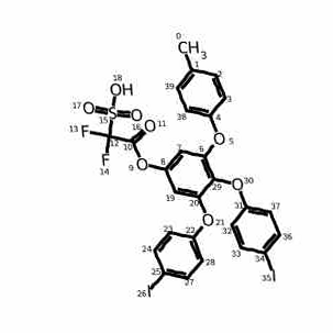 Cc1ccc(Oc2cc(OC(=O)C(F)(F)S(=O)(=O)O)cc(Oc3ccc(I)cc3)c2Oc2ccc(I)cc2)cc1